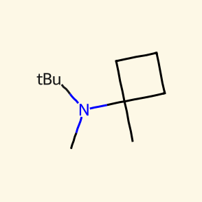 CN(C(C)(C)C)C1(C)CCC1